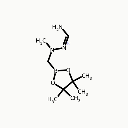 CN(CB1OC(C)(C)C(C)(C)O1)/N=C\N